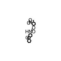 Cc1ccc(OCC(=O)Nc2ccc3c(c2)oc2ccccc23)cc1[N+](=O)[O-]